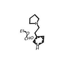 CCOC=O.c1cc(CCN2CCCC2)c[nH]1